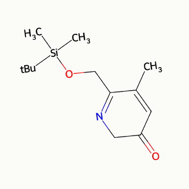 CC1=CC(=O)CN=C1CO[Si](C)(C)C(C)(C)C